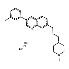 CN1CCN(CCCc2ccc3cc(-c4cccc(F)c4)cnc3c2)CC1.Cl.Cl.Cl